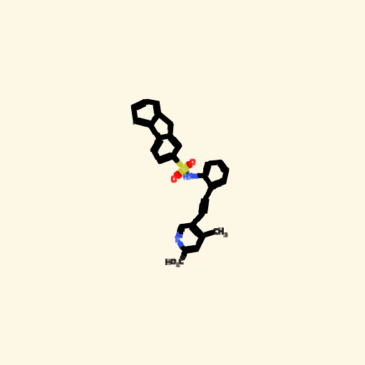 Cc1cc(C(=O)O)ncc1C#Cc1ccccc1NS(=O)(=O)c1ccc2c(c1)Cc1ccccc1-2